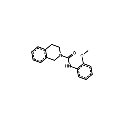 COc1ccccc1NC(=O)N1CCc2ccccc2C1